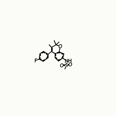 CC1=C(c2ccc(F)cc2)c2ccc(NS(C)(=O)=O)cc2OC1(C)C